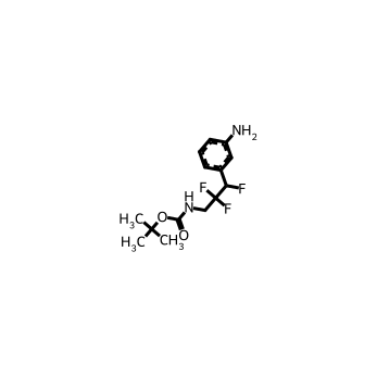 CC(C)(C)OC(=O)NCC(F)(F)C(F)c1cccc(N)c1